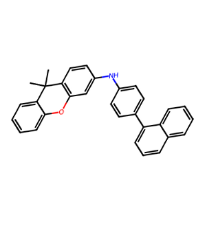 CC1(C)c2ccccc2Oc2cc(Nc3ccc(-c4cccc5ccccc45)cc3)ccc21